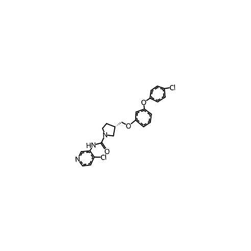 O=C(Nc1cnccc1Cl)N1CC[C@H](COc2cccc(Oc3ccc(Cl)cc3)c2)C1